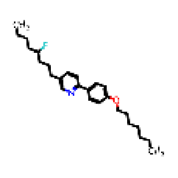 CCCCCCCOc1ccc(-c2ccc(CCCC(F)CCCC)cn2)cc1